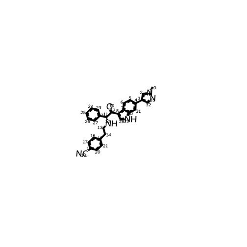 Cn1cc(-c2ccc3c(C(=O)[C@@H](NCCc4ccc(C#N)cc4)c4ccccc4)c[nH]c3c2)cn1